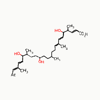 CC(=O)/C=C(C)/C=C/C(O)C(C)CCC(O)CCC(C)CC/C=C(C)/C=C/C(O)C(C)/C=C/C(=O)O